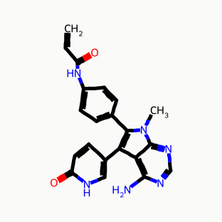 C=CC(=O)Nc1ccc(-c2c(-c3ccc(=O)[nH]c3)c3c(N)ncnc3n2C)cc1